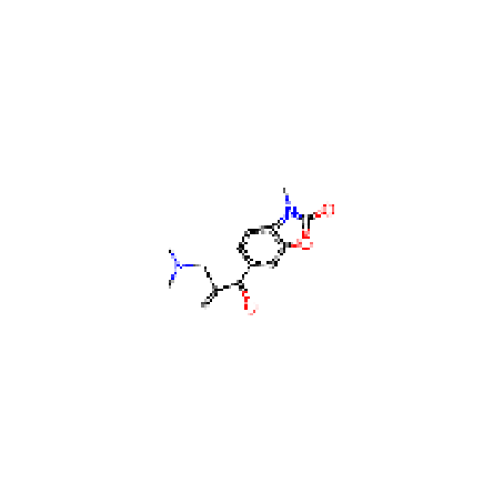 C=C(CN(C)C)C(=O)c1ccc2c(c1)oc(=O)n2C